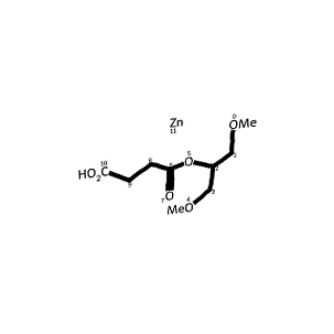 COCC(COC)OC(=O)CCC(=O)O.[Zn]